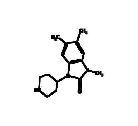 Cc1cc2c(cc1C)n(C1CCNCC1)c(=O)n2C